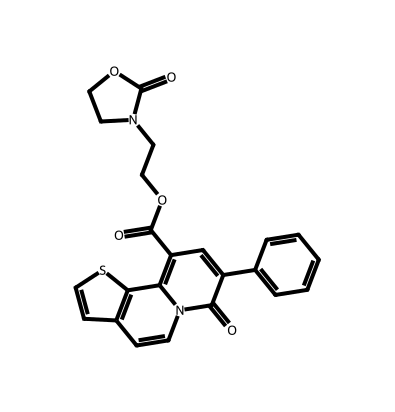 O=C(OCCN1CCOC1=O)c1cc(-c2ccccc2)c(=O)n2ccc3ccsc3c12